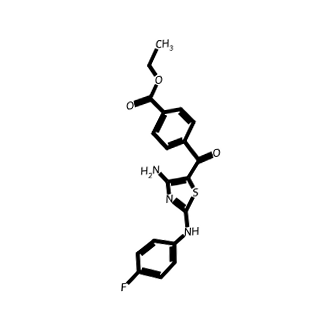 CCOC(=O)c1ccc(C(=O)c2sc(Nc3ccc(F)cc3)nc2N)cc1